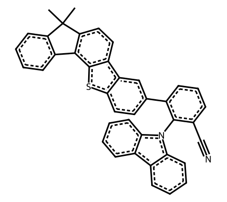 CC1(C)c2ccccc2-c2c1ccc1c2sc2ccc(-c3cccc(C#N)c3-n3c4ccccc4c4ccccc43)cc21